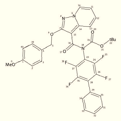 COc1ccc(COc2nn3ccccc3c2C(=O)N(C(=O)OC(C)(C)C)c2c(F)c(F)c(-c3ccccc3)c(F)c2F)cc1